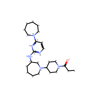 CCC(=O)N1CCC(N2CCCCC(Nc3nccc(N4CCCCCC4)n3)C2)CC1